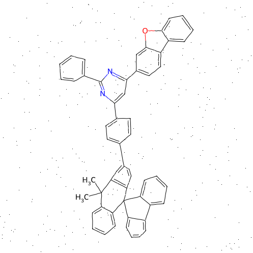 CC1(C)c2ccccc2C2(c3ccccc3-c3ccccc32)c2ccc(-c3ccc(-c4cc(-c5ccc6c(c5)oc5ccccc56)nc(-c5ccccc5)n4)cc3)cc21